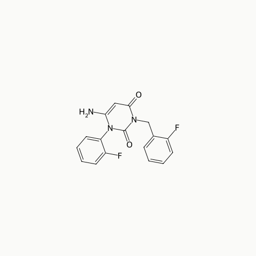 Nc1cc(=O)n(Cc2ccccc2F)c(=O)n1-c1ccccc1F